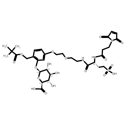 CC(C)(C)C(=O)OCc1ccc(OCCOCCNC(=O)[C@@H](CCS(=O)(=O)O)NC(=O)CCN2C(=O)C=CC2=O)cc1O[C@@H]1O[C@H](C(=O)O)[C@@H](O)[C@H](O)[C@H]1O